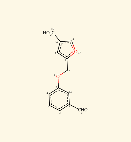 O=Cc1cccc(OCc2cc(C(=O)O)co2)c1